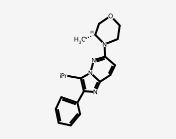 CC(C)c1c(-c2ccccc2)nc2ccc(N3CCOC[C@H]3C)nn12